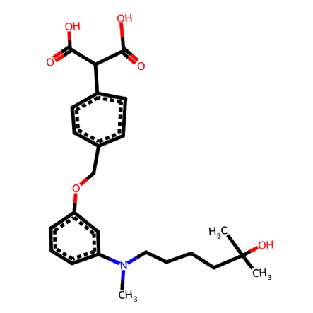 CN(CCCCC(C)(C)O)c1cccc(OCc2ccc(C(C(=O)O)C(=O)O)cc2)c1